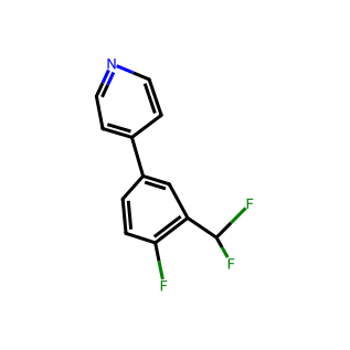 Fc1ccc(-c2ccncc2)cc1C(F)F